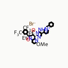 CCON1c2ccc(OC)nc2[C@@H](c2ncc(-c3ccc[n+](Cc4ccccc4)c3)c(N)n2)C(=C=O)[C@@]1(CC)Cc1cc(C(F)(F)F)cc(C(F)(F)F)c1.[Br-]